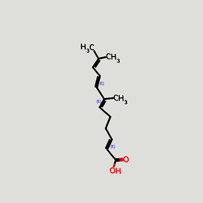 CC(C)=C/C=C/C(C)=C/CC/C=C/C(=O)O